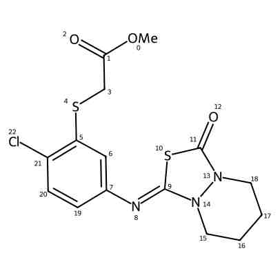 COC(=O)CSc1cc(/N=c2\sc(=O)n3n2CCCC3)ccc1Cl